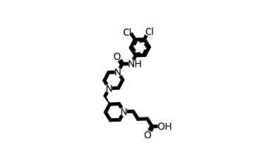 O=C(O)CCCN1CCC[C@@H](CN2CCN(C(=O)Nc3ccc(Cl)c(Cl)c3)CC2)C1